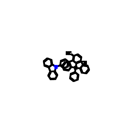 N#Cc1ccc(C#N)c([Si](c2ccccc2)(c2ccccc2)c2ccccc2)c1-c1ccc(-n2c3ccccc3c3ccccc32)cc1